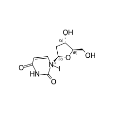 O=C1C=C[N+](I)([C@H]2C[C@H](O)[C@@H](CO)O2)C(=O)N1